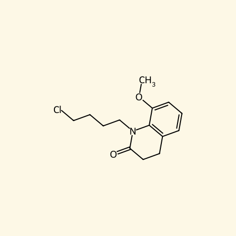 COc1cccc2c1N(CCCCCl)C(=O)CC2